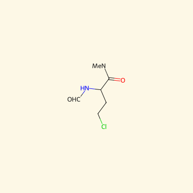 CNC(=O)C(CCCl)NC=O